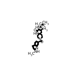 CNc1ccc2ccc(C(=O)N3CCC4(CC3)CC3=C(NN(C(C)(C)C)C3)C(=O)N4)cc2n1